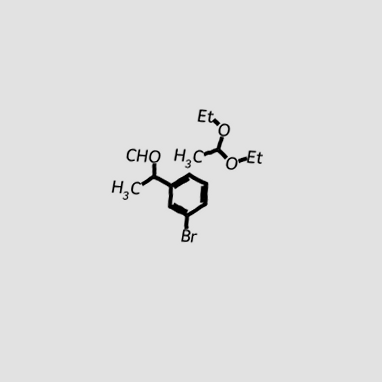 CC(C=O)c1cccc(Br)c1.CCOC(C)OCC